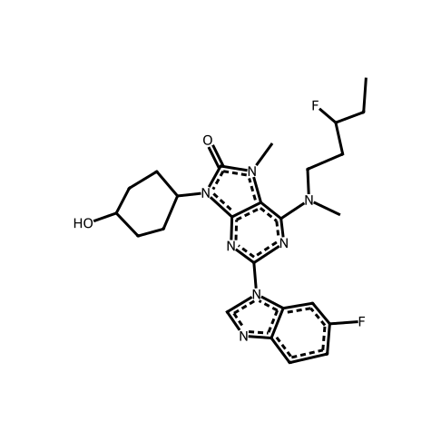 CCC(F)CCN(C)c1nc(-n2cnc3ccc(F)cc32)nc2c1n(C)c(=O)n2C1CCC(O)CC1